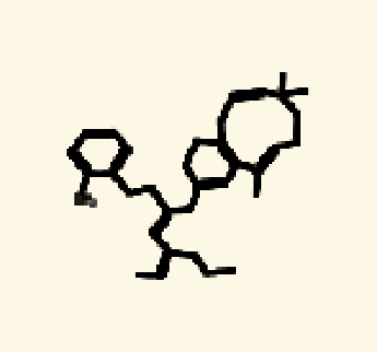 C/C=C(\C=C(\CCc1ccccc1N)CC1=CC2=C(C/C=C\C(C)(C)CC/C=C/2C)CC1)CCC